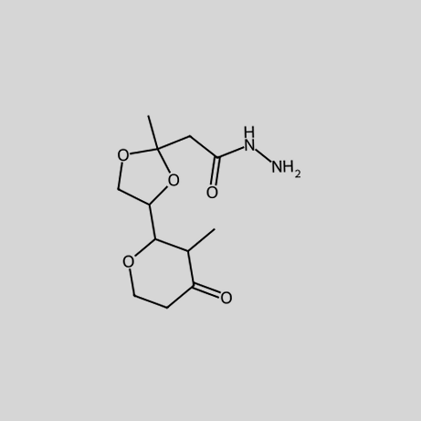 CC1C(=O)CCOC1C1COC(C)(CC(=O)NN)O1